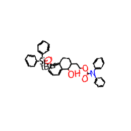 CC(C)(C)[Si](Oc1cccc2c1CCC(CCOC(=O)N(c1ccccc1)c1ccccc1)C2O)(c1ccccc1)c1ccccc1